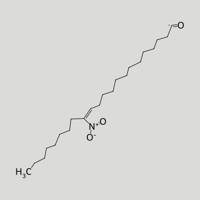 CCCCCCCC/C(=C/CCCCCCCCCCC[C]=O)[N+](=O)[O-]